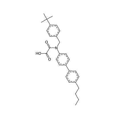 CCCCc1ccc(-c2ccc(N(Cc3ccc(C(C)(C)C)cc3)C(=O)C(=O)O)cc2)cc1